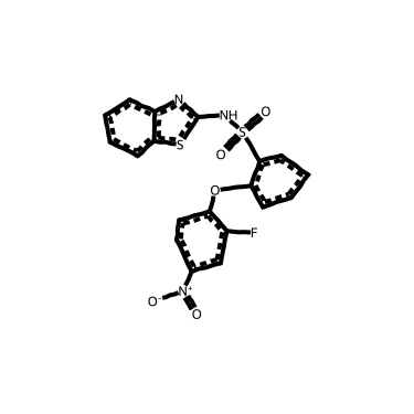 O=[N+]([O-])c1ccc(Oc2ccccc2S(=O)(=O)Nc2nc3ccccc3s2)c(F)c1